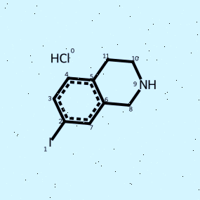 Cl.Ic1ccc2c(c1)CNCC2